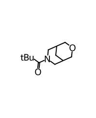 CC(C)(C)C(=O)N1CC2COCC(C2)C1